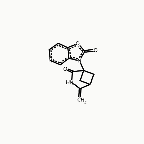 C=C1NC(=O)C2(n3c(=O)oc4ccncc43)CC1C2